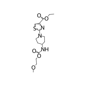 CCOC(=O)c1csc(N2CCC(NC(=O)OCCOC)CC2)n1